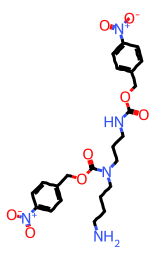 NCCCCN(CCCNC(=O)OCc1ccc([N+](=O)[O-])cc1)C(=O)OCc1ccc([N+](=O)[O-])cc1